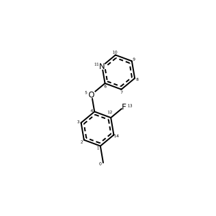 Cc1ccc(Oc2ccccn2)c(F)c1